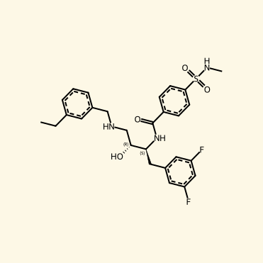 CCc1cccc(CNC[C@@H](O)[C@H](Cc2cc(F)cc(F)c2)NC(=O)c2ccc(S(=O)(=O)NC)cc2)c1